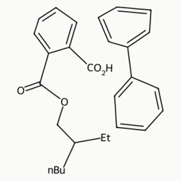 CCCCC(CC)COC(=O)c1ccccc1C(=O)O.c1ccc(-c2ccccc2)cc1